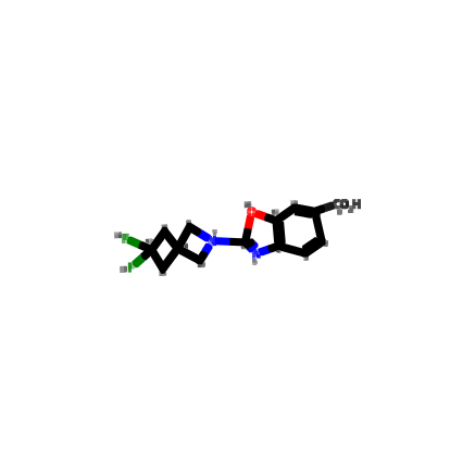 O=C(O)c1ccc2nc(N3CC4(C3)CC(F)(F)C4)oc2c1